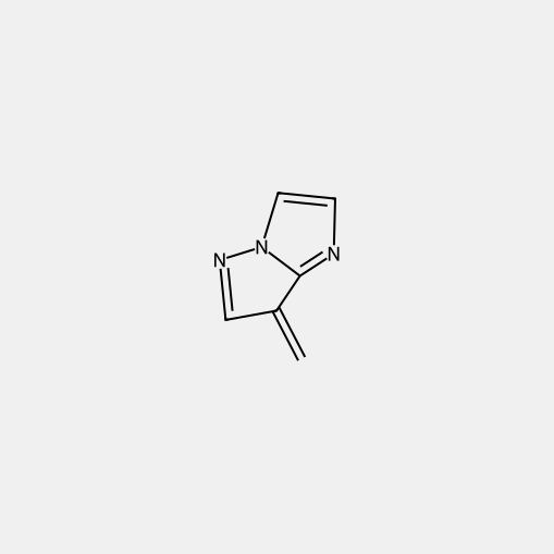 C=c1cnn2ccnc12